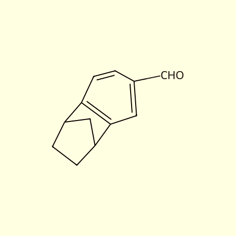 O=Cc1ccc2c(c1)C1CCC2C1